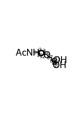 CC(=O)Nc1ccc(OCCCB(O)O)cc1